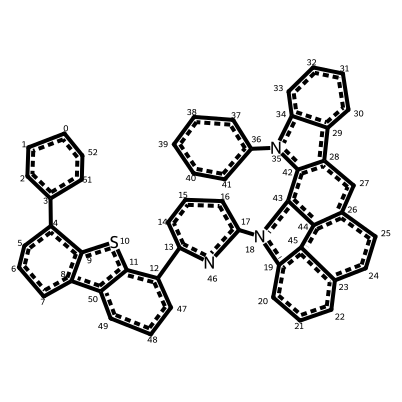 c1ccc(-c2cccc3c2sc2c(-c4cccc(-n5c6cccc7ccc8cc9c%10ccccc%10n(-c%10ccccc%10)c9c5c8c76)n4)cccc23)cc1